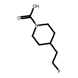 O=C(O)N1CCC(CCF)CC1